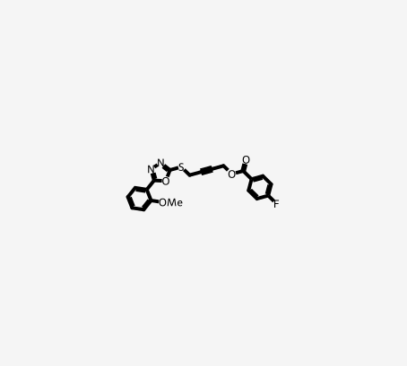 COc1ccccc1-c1nnc(SCC#CCOC(=O)c2ccc(F)cc2)o1